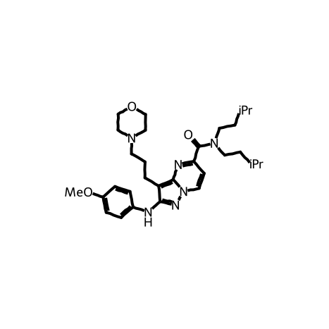 COc1ccc(Nc2nn3ccc(C(=O)N(CCC(C)C)CCC(C)C)nc3c2CCCN2CCOCC2)cc1